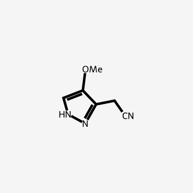 COc1c[nH]nc1CC#N